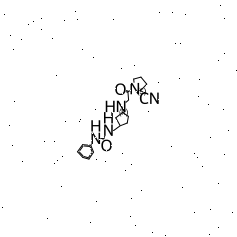 N#C[C@@H]1CCCN1C(=O)CN[C@@H]1CCC(CNC(=O)Nc2ccccc2)C1